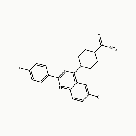 NC(=O)C1CCN(c2cc(-c3ccc(F)cc3)nc3ccc(Cl)cc23)CC1